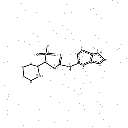 CS(=O)(=O)C(NC(=O)Nc1cnc2[nH]ccc2n1)C1CCCCN1